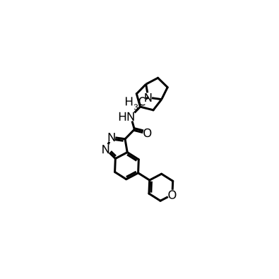 CN1C2CCC1CC(NC(=O)C1=NN=C3CC=C(C4=CCOCC4)C=C31)C2